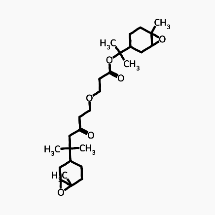 CC(C)(CC(=O)CCOCCC(=O)OC(C)(C)C1CCC2(C)OC2C1)C1CCC2(C)OC2C1